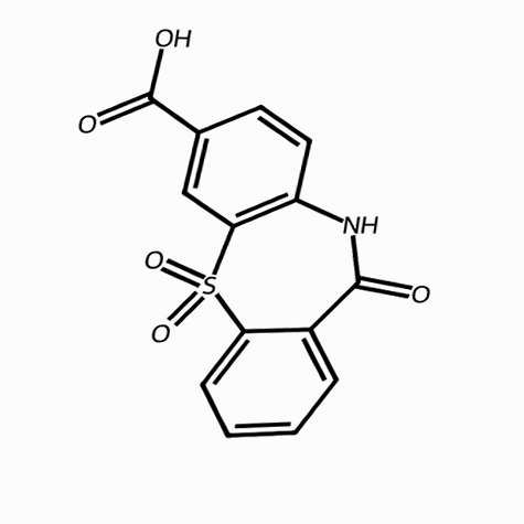 O=C(O)c1ccc2c(c1)S(=O)(=O)c1ccccc1C(=O)N2